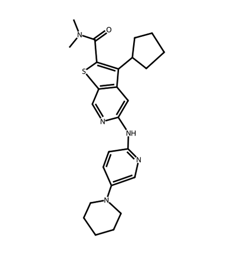 CN(C)C(=O)c1sc2cnc(Nc3ccc(N4CCCCC4)cn3)cc2c1C1CCCC1